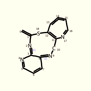 C=C1/N=c2/nccc/c2=N/CC2=C(C=C=CC=N2)S1